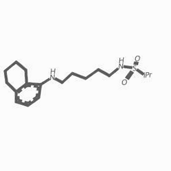 CC(C)S(=O)(=O)NCCCCCNc1cccc2c1CCCC2